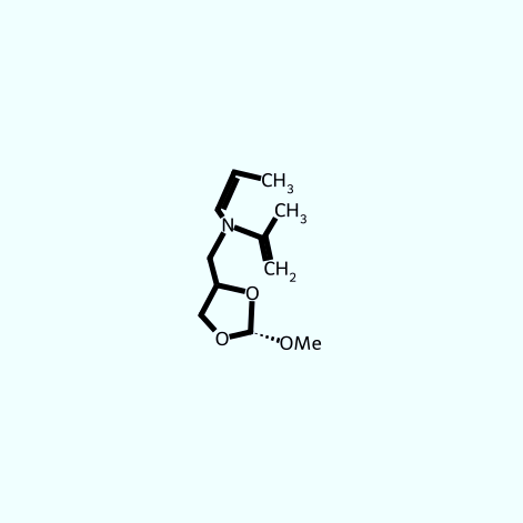 C=C(C)N(/C=C\C)CC1CO[C@@H](OC)O1